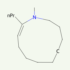 CCC/C1=C/CCCCCCCCN1C